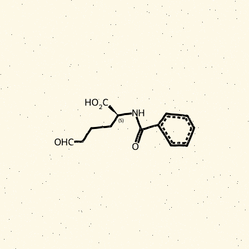 O=CCCC[C@H](NC(=O)c1ccccc1)C(=O)O